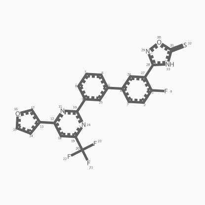 Fc1ccc(-c2cccc(-c3nc(-c4ccoc4)cc(C(F)(F)F)n3)c2)cc1-c1noc(=S)[nH]1